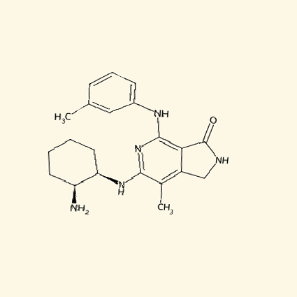 Cc1cccc(Nc2nc(N[C@@H]3CCCC[C@@H]3N)c(C)c3c2C(=O)NC3)c1